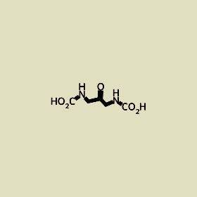 O=C(CNC(=O)O)CNC(=O)O